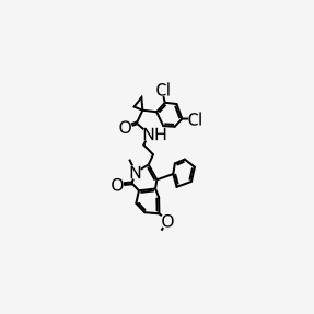 COc1ccc2c(=O)n(C)c(CCNC(=O)C3(c4ccc(Cl)cc4Cl)CC3)c(-c3ccccc3)c2c1